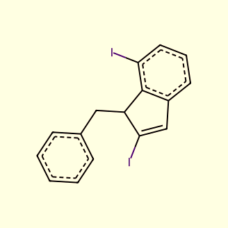 IC1=Cc2cccc(I)c2C1Cc1ccccc1